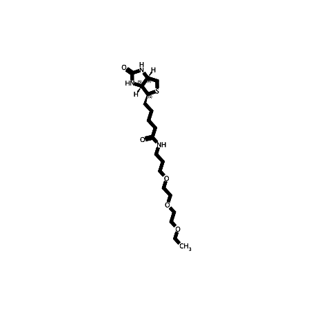 CCOCCOCCOCCCNC(=O)CCCC[C@@H]1SC[C@@H]2NC(=O)N[C@@H]21